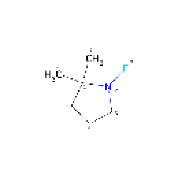 CC1(C)CCCN1F